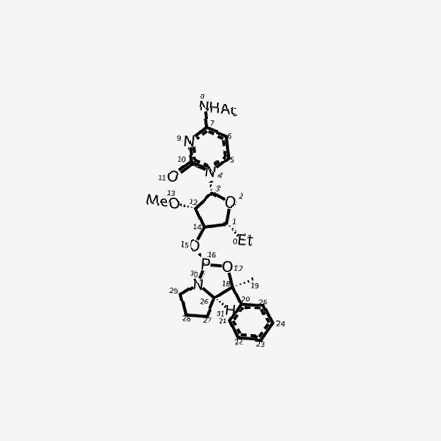 CC[C@H]1O[C@@H](n2ccc(NC(C)=O)nc2=O)[C@@H](OC)C1O[P@]1O[C@@](C)(c2ccccc2)[C@H]2CCCN21